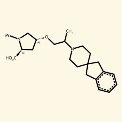 CC(CO[C@@H]1C[C@@H](C(=O)O)N(C(C)C)C1)N1CCC2(CC1)Cc1ccccc1C2